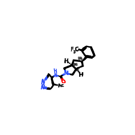 CC(=O)c1cnncc1NC(=O)N1C[C@H]2C[C@@H](c3ccccc3C(F)(F)F)C[C@H]2C1